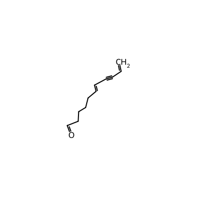 C=CC#CC=CCCCCC=O